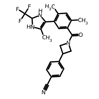 CC1=C(c2cc(C(=O)N3CC(c4ccc(C#N)cc4)C3)c(C)cc2C)NC(C(F)(F)F)N1